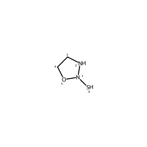 SN1NCCO1